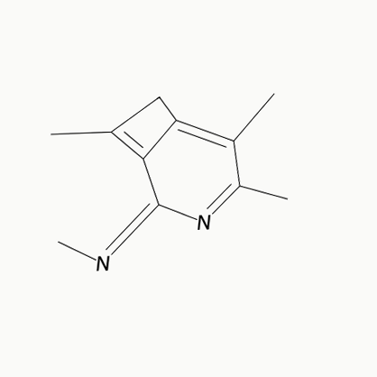 C/N=C1/N=C(C)C(C)=C2CC(C)=C21